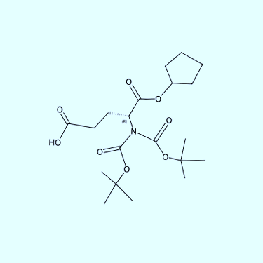 CC(C)(C)OC(=O)N(C(=O)OC(C)(C)C)[C@H](CCC(=O)O)C(=O)OC1CCCC1